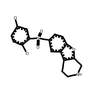 O=S(=O)(c1ccc2oc3c(c2c1)CCNC3)c1cc(Cl)ccc1Cl